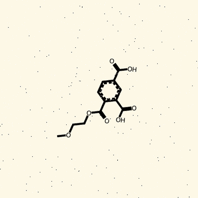 COCCOC(=O)c1ccc(C(=O)O)cc1C(=O)O